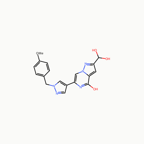 COc1ccc(Cn2cc(-c3cn4nc(C(O)O)cc4c(O)n3)cn2)cc1